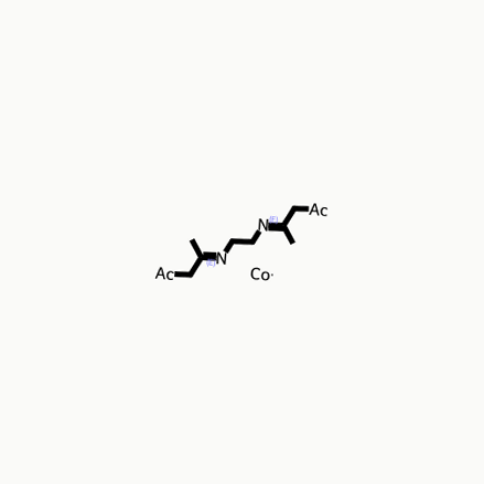 CC(=O)C/C(C)=N/CC/N=C(\C)CC(C)=O.[Co]